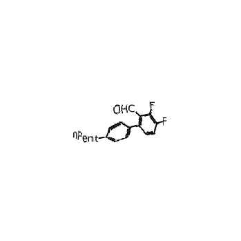 CCCCCc1ccc(-c2ccc(F)c(F)c2C=O)cc1